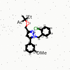 CCC(C)(OCc1cc(-c2cccc(OC)c2)n(Cc2ccccc2Cl)n1)C(C)=O